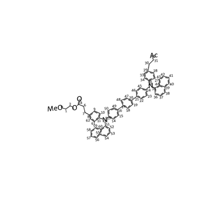 COCCOC(=O)CCc1ccc(N(c2ccc(-c3ccc(-c4ccc(N(c5ccc(CCC(C)=O)cc5)c5cccc6ccccc56)cc4)cc3)cc2)c2cccc3ccccc23)cc1